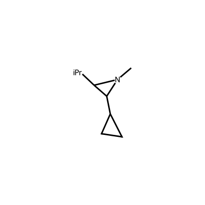 CC(C)C1C(C2CC2)N1C